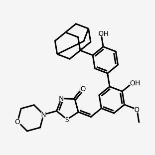 COc1cc(C=C2SC(N3CCOCC3)=NC2=O)cc(-c2ccc(O)c(C34CC5CC(CC(C5)C3)C4)c2)c1O